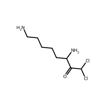 NCCCCCC(N)C(=O)C(Cl)Cl